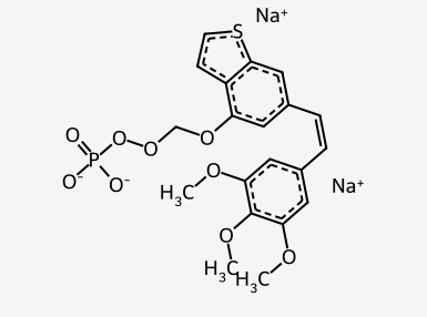 COc1cc(/C=C\c2cc(OCOOP(=O)([O-])[O-])c3ccsc3c2)cc(OC)c1OC.[Na+].[Na+]